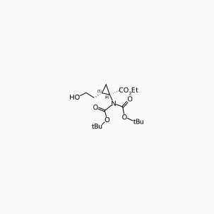 CCOC(=O)[C@@]1(N(C(=O)OC(C)(C)C)C(=O)OC(C)(C)C)C[C@H]1CCO